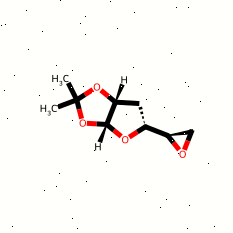 CC1(C)O[C@H]2O[C@@H]([C@H]3CO3)C[C@H]2O1